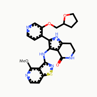 COc1nccc2snc(Nc3c(-c4ccncc4OCC4CCCO4)[nH]c4c3C(=O)NCC4)c12